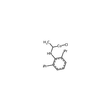 C[CH](Nc1c(C(C)C)cccc1C(C)C)[Co][Cl]